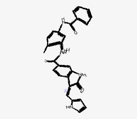 Cc1ccc(NC(=O)c2ccccc2)cc1NC(=O)c1ccc2c(c1)NC(=O)/C2=C\c1ccc[nH]1